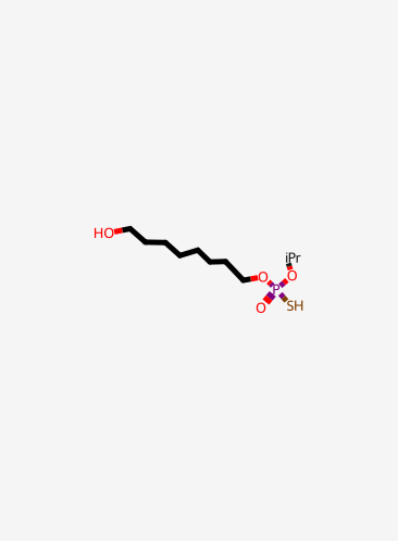 CC(C)OP(=O)(S)OCCCCCCCCO